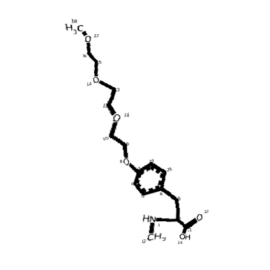 CNC(Cc1ccc(OCCOCCOCCOC)cc1)C(=O)O